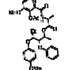 CC[C@H](Oc1ccc(OC)cc1)[C@@H](Oc1ccccc1)[C@H](C)OC(=O)[C@H](C)NC(=O)c1nccc(OC)c1OC(C)=O